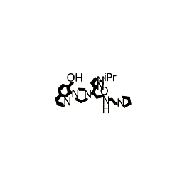 CC(C)n1ccc(C(CC(=O)NCCN2CCCC2)N2CCCN(c3c(CO)ccc4cccnc34)CC2)n1